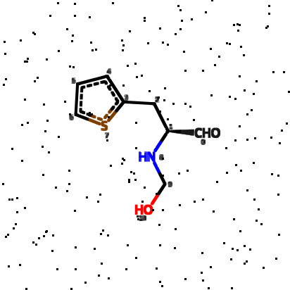 O=C[C@H](Cc1cccs1)NCO